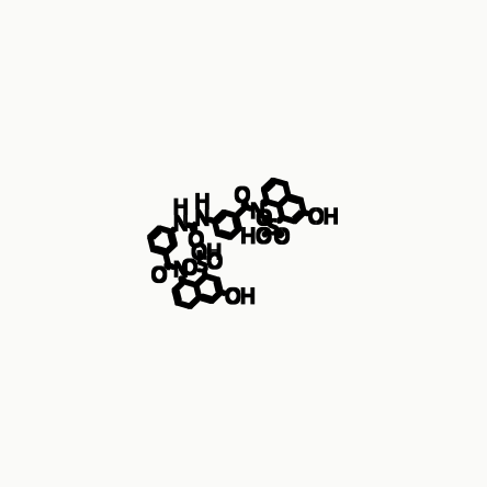 O=C(Nc1cccc(C(=O)N=C2C=CCC3=CC(O)=CC(S(=O)(=O)O)C32)c1)Nc1cccc(C(=O)N=C2C=CCC3=CC(O)=CC(S(=O)(=O)O)C32)c1